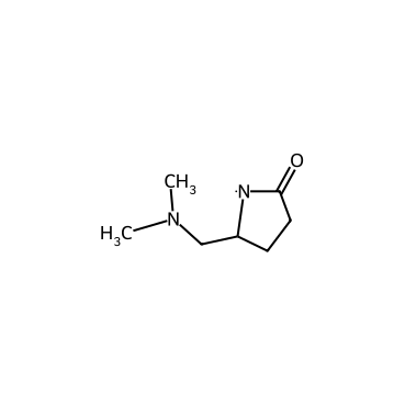 CN(C)CC1CCC(=O)[N]1